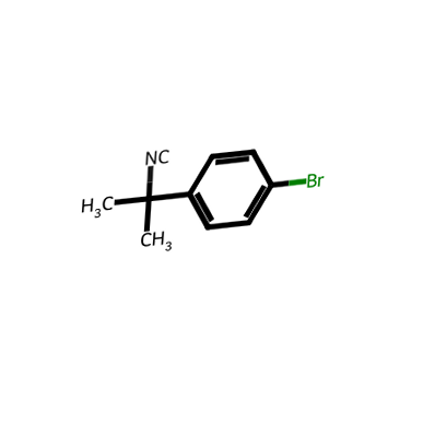 [C-]#[N+]C(C)(C)c1ccc(Br)cc1